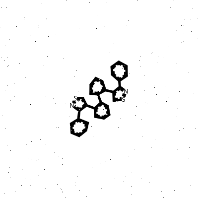 c1ccc(-c2nscc2-c2ccccc2-c2ccccc2-c2csnc2-c2ccccc2)cc1